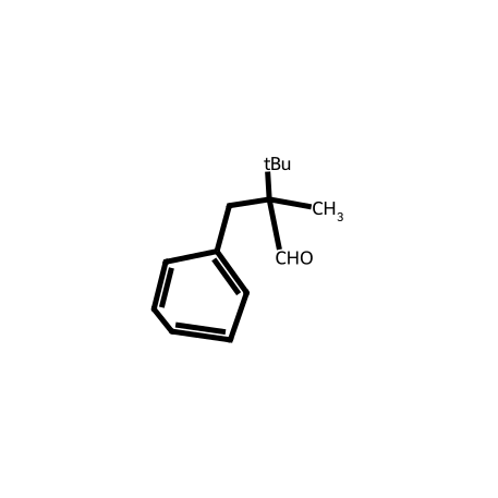 CC(C)(C)C(C)(C=O)Cc1ccccc1